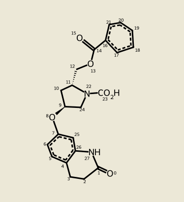 O=C1CCc2ccc(O[C@H]3C[C@H](COC(=O)c4ccccc4)N(C(=O)O)C3)cc2N1